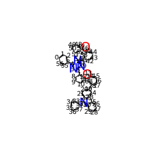 c1ccc(-c2nc(-c3cccc4c3oc3cccc(-c5ccc6c(c5)c5ccccc5n6-c5ccccc5)c34)nc(-c3cccc4oc5ccccc5c34)n2)cc1